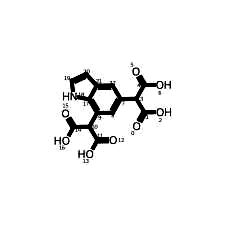 O=C(O)C(C(=O)O)c1cc(C(C(=O)O)C(=O)O)c2[nH]ccc2c1